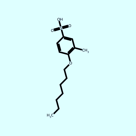 CCCCCCCOc1ccc(S(=O)(=O)O)cc1C